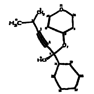 CC(C)C#C[C@](O)(OC1CCOCC1)C1CCCCC1